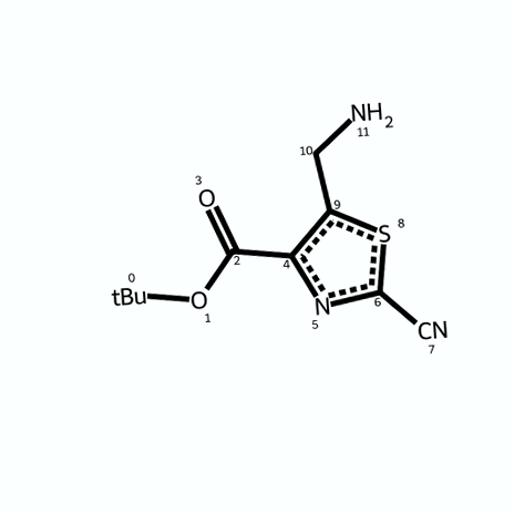 CC(C)(C)OC(=O)c1nc(C#N)sc1CN